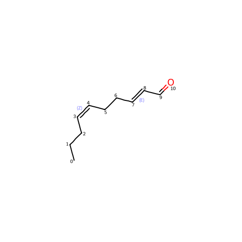 CCC/C=C\CC/C=C/C=O